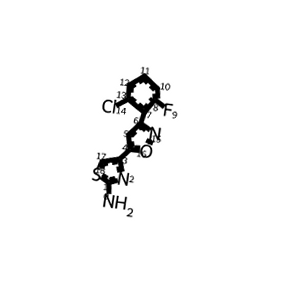 Nc1nc(-c2cc(-c3c(F)cccc3Cl)no2)cs1